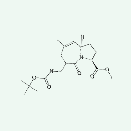 COC(=O)[C@@H]1CC[C@@H]2C=C(C)CC(/C=N/C(=O)OC(C)(C)C)C(=O)N21